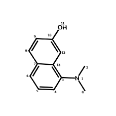 CN(C)c1cccc2ccc(O)cc12